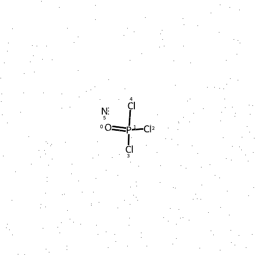 O=P(Cl)(Cl)Cl.[N]